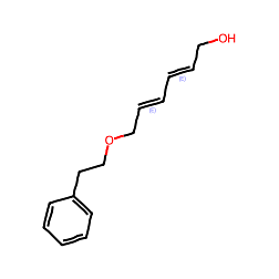 OC/C=C/C=C/COCCc1ccccc1